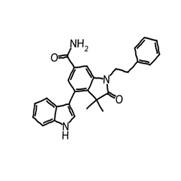 CC1(C)C(=O)N(CCc2ccccc2)c2cc(C(N)=O)cc(-c3c[nH]c4ccccc34)c21